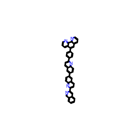 c1ccc2cc(-c3ccc4cc(-c5ccc6nc(-c7ccc(-c8cc9cccnc9c9ncccc89)cc7)ccc6c5)ccc4n3)ncc2c1